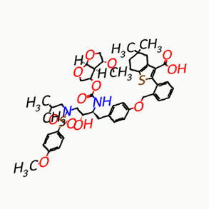 COc1ccc(S(=O)(=O)N(CC(C)C)C[C@@H](O)[C@H](Cc2ccc(OCc3ccccc3-c3sc4c(c3C(=O)O)CC(C)(C)CC4)cc2)NC(=O)O[C@H]2CO[C@H]3OC[C@H](OC)[C@H]32)cc1